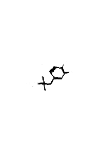 Br.CC(C)(N)Cc1ccc(O)c(Br)c1